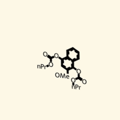 CCCOC(=O)Oc1cc(OC)c(OC(=O)OCCC)c2ccccc12